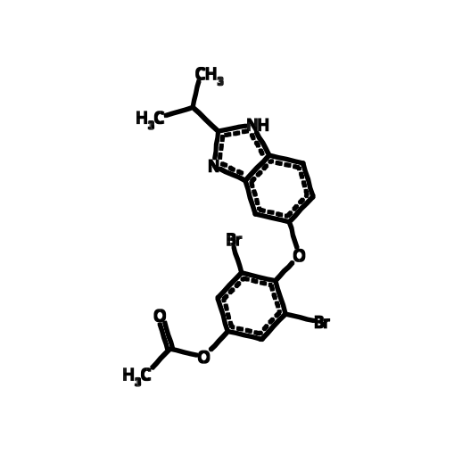 CC(=O)Oc1cc(Br)c(Oc2ccc3[nH]c(C(C)C)nc3c2)c(Br)c1